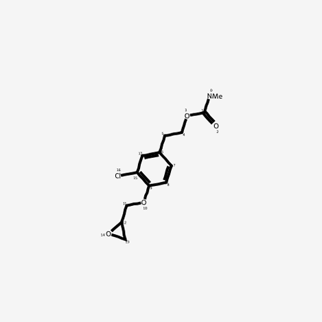 CNC(=O)OCCc1ccc(OCC2CO2)c(Cl)c1